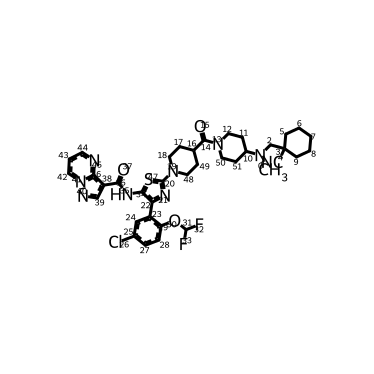 CN(CC1(C#N)CCCCC1)C1CCN(C(=O)C2CCN(c3nc(-c4cc(Cl)ccc4OC(F)F)c(NC(=O)c4cnn5cccnc45)s3)CC2)CC1